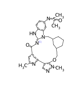 Cc1cc2cc(n1)-c1cnn(C)c1OCC1CCCC(C1)CN1/C(=N/C2=O)Nc2ccc(N=S(C)(C)=O)cc21